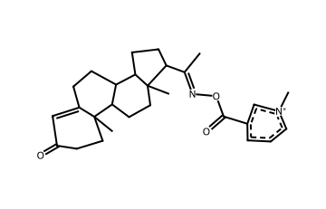 CC(=NOC(=O)c1ccc[n+](C)c1)C1CCC2C3CCC4=CC(=O)CCC4(C)C3CCC12C